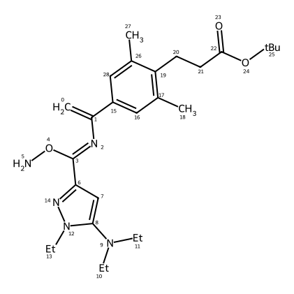 C=C(/N=C(\ON)c1cc(N(CC)CC)n(CC)n1)c1cc(C)c(CCC(=O)OC(C)(C)C)c(C)c1